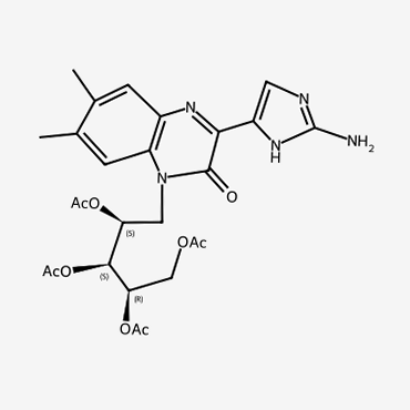 CC(=O)OC[C@@H](OC(C)=O)[C@@H](OC(C)=O)[C@H](Cn1c(=O)c(-c2cnc(N)[nH]2)nc2cc(C)c(C)cc21)OC(C)=O